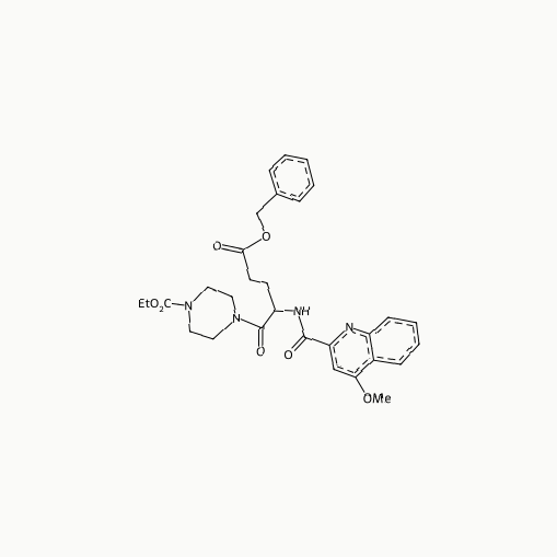 CCOC(=O)N1CCN(C(=O)C(CCC(=O)OCc2ccccc2)NC(=O)c2cc(OC)c3ccccc3n2)CC1